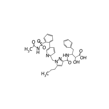 CCCc1cc(C(=O)NC(Cc2ccccc2)C(O)C(=O)O)nn1Cc1ccc(-c2ccccc2S(=O)(=O)NC(C)=O)cn1